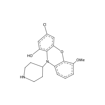 COc1cccc2c1Oc1cc(Cl)cc(O)c1N2C1CCNCC1